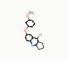 COc1cccc(Oc2ccc3nc4c(c(Cl)c3c2)CCC4)c1